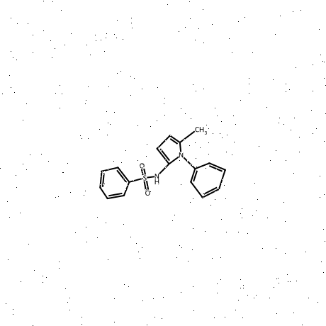 Cc1ccc(NS(=O)(=O)c2ccccc2)n1-c1ccccc1